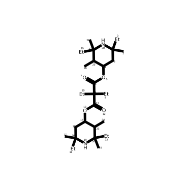 CCC1(C)CC(OC(=O)C(CC)(CC)C(=O)OC2CC(C)(CC)NC(C)(CC)C2C)C(C)C(C)(CC)N1